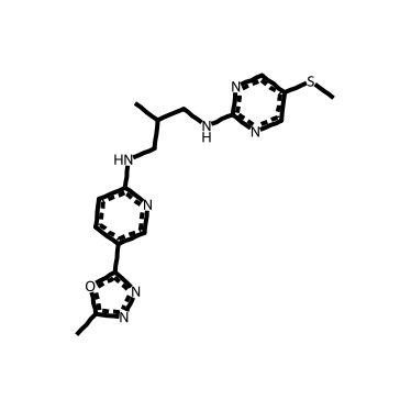 CSc1cnc(NCC(C)CNc2ccc(-c3nnc(C)o3)cn2)nc1